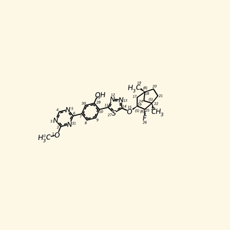 COc1ncnc(-c2ccc(-c3nnc(O[C@H]4C[C@]5(C)CC[C@@](C)(C5)[C@H]4F)s3)c(O)c2)n1